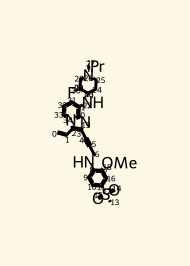 C=Cc1c(C#CCNc2ccc(S(C)(=O)=O)cc2OC)nc2c(N[C@@H]3CCN(C(C)C)C[C@@H]3F)cccn12